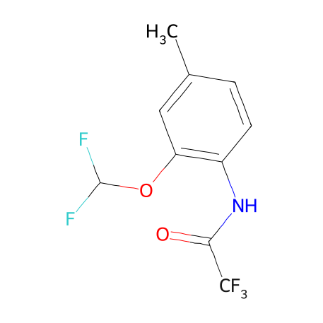 Cc1ccc(NC(=O)C(F)(F)F)c(OC(F)F)c1